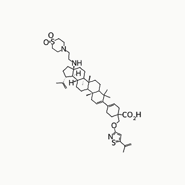 C=C(C)c1cc(OCC2(C(=O)O)CC=C(C3=CC[C@@]4(C)C(CC[C@]5(C)C4CC[C@@H]4[C@H]6[C@H](C(=C)C)CC[C@]6(NCCN6CCS(=O)(=O)CC6)CC[C@]45C)C3(C)C)CC2)ns1